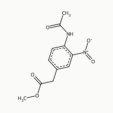 COC(=O)Cc1ccc(NC(C)=O)c([N+](=O)[O-])c1